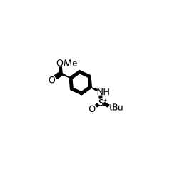 COC(=O)[C@H]1CC[C@@H](N[S+]([O-])C(C)(C)C)CC1